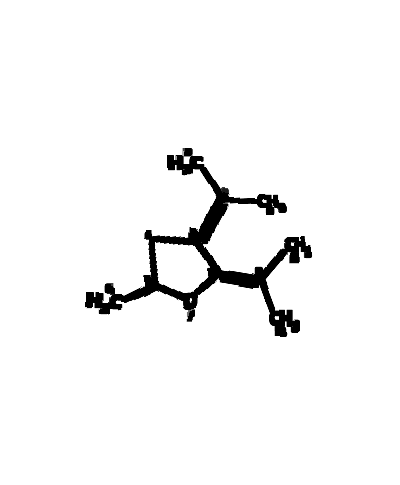 CC(C)=C1CC(C)OC1=C(C)C